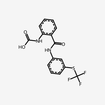 O=C(O)Nc1ccccc1C(=O)Nc1cccc(SC(F)(F)F)c1